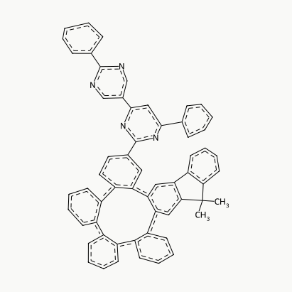 CC1(C)c2ccccc2-c2cc3c4cc(-c5nc(-c6ccccc6)cc(-c6cnc(-c7ccccc7)nc6)n5)ccc4c4ccccc4c4ccccc4c4ccccc4c3cc21